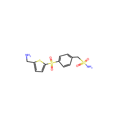 NCc1ccc(S(=O)(=O)c2ccc(CS(N)(=O)=O)cc2)s1